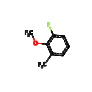 Fc1cccc(C(F)(F)F)c1OC(F)(F)F